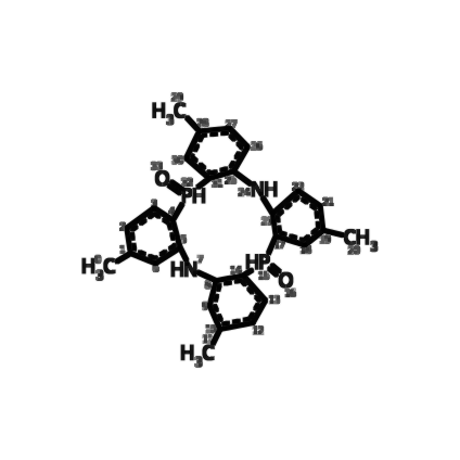 Cc1ccc2c(c1)Nc1cc(C)ccc1[PH](=O)c1cc(C)ccc1Nc1ccc(C)cc1[PH]2=O